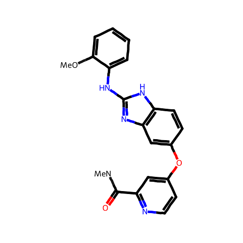 CNC(=O)c1cc(Oc2ccc3[nH]c(Nc4ccccc4OC)nc3c2)ccn1